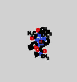 C[C@@H](NC(=O)C(C)(C)C)C(=O)N[C@@H](CC1CCC1)C(=O)N[C@@H](C[C@@H]1CCCNC1=O)C(=O)C(=O)N(C)C1CC1